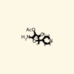 CC(=O)OC1=C(N)OC(C)(c2ccncc2)C1=O